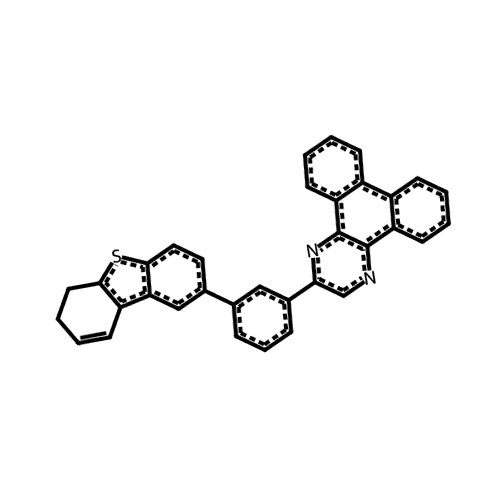 C1=Cc2c(sc3ccc(-c4cccc(-c5cnc6c7ccccc7c7ccccc7c6n5)c4)cc23)CC1